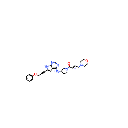 O=C(/C=C/CN1CCOCC1)N1CCC(Nc2ncnc3[nH]c(C#CCOc4ccccc4)cc23)C1